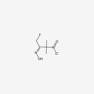 CC(C)(/C(CF)=N\O)[N+](=O)[O-]